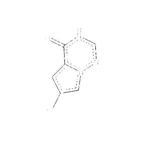 O=c1[nH]cnn2cc(Cl)cc12